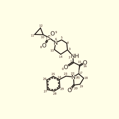 O=C(NC1CCN(S(=O)(=O)C2CC2)CC1)C(=O)[C@H]1CCC(=O)N1Cc1ccccc1